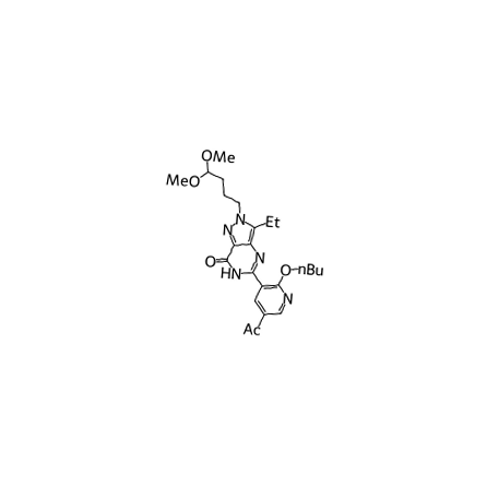 CCCCOc1ncc(C(C)=O)cc1-c1nc2c(CC)n(CCCC(OC)OC)nc2c(=O)[nH]1